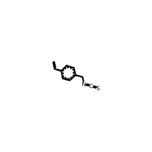 C=Cc1ccc(CN=C=S)cc1